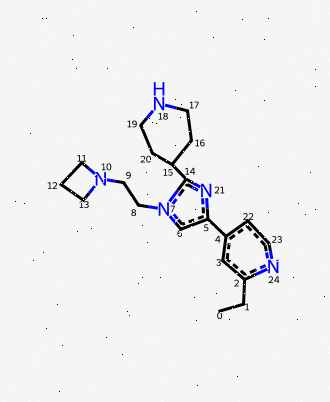 CCc1cc(-c2cn(CCN3CCC3)c(C3CCNCC3)n2)ccn1